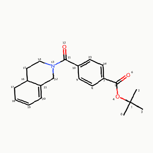 CC(C)(C)OC(=O)c1ccc(C(=O)N2CCC3CC=CC=C3C2)cc1